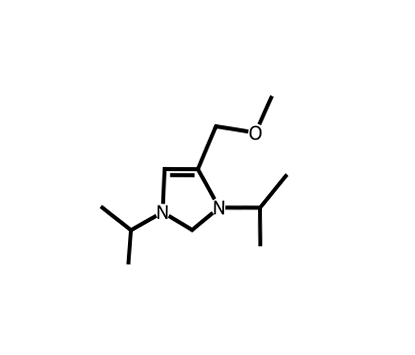 COCC1=CN(C(C)C)CN1C(C)C